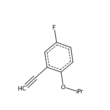 C#Cc1cc(F)ccc1OC(C)C